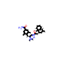 Cc1cc(C(N)=O)cc(C)c1C[C@@H](CNC(=O)C[C@H](CC(C)C)C1(C)C=CC=CC1)N(C)C